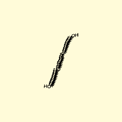 OCC(F)(F)C(F)(F)C(F)(F)C(F)(F)C(F)(F)C(F)(F)C(F)(F)C(F)(F)C(F)(F)C(F)(F)COC(F)(F)C(F)OC(F)(F)C(F)(F)C(F)(F)C(F)(F)OC(F)C(F)(F)OCC(F)(F)C(F)(F)C(F)(F)C(F)(F)C(F)(F)C(F)(F)C(F)(F)C(F)(F)C(F)(F)C(F)(F)CO